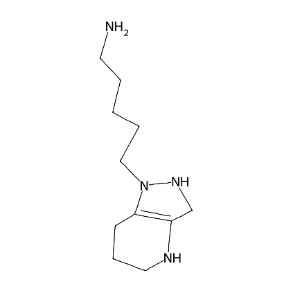 NCCCCCN1NCC2=C1CCCN2